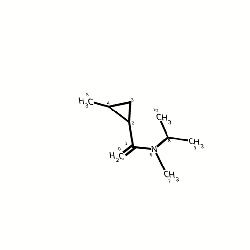 C=C(C1CC1C)N(C)C(C)C